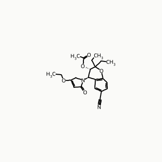 CCOC1=CC(=O)N([C@@H]2c3cc(C#N)ccc3OC(CC)(CC)[C@H]2OC(C)=O)C1